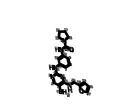 Bc1cnc(Nc2cccc(NC(=O)N3CCCC3)c2)nc1NCc1ccco1